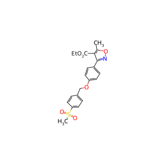 CCOC(=O)c1c(-c2ccc(OCc3ccc(S(C)(=O)=O)cc3)cc2)noc1C